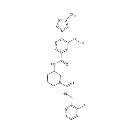 COc1cc(C(=O)NC2CCCN(C(=O)NCc3ccccc3F)C2)ccc1-n1cnc(C)c1